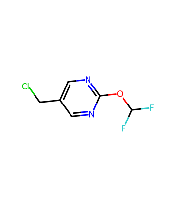 FC(F)Oc1ncc(CCl)cn1